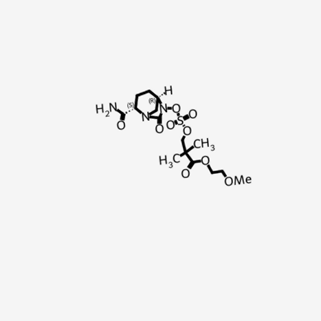 COCCOC(=O)C(C)(C)COS(=O)(=O)ON1C(=O)N2C[C@H]1CC[C@H]2C(N)=O